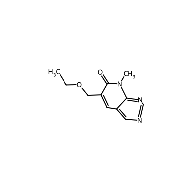 CCOCc1cc2cncnc2n(C)c1=O